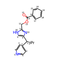 CC(C)C(c1ccncc1)c1c[nH]c(COC(=O)c2ccccc2)n1